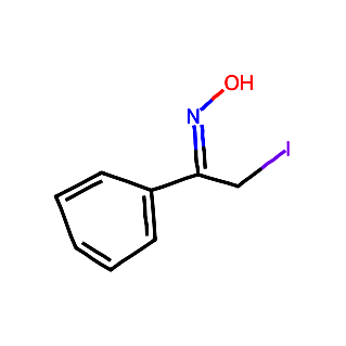 ON=C(CI)c1ccccc1